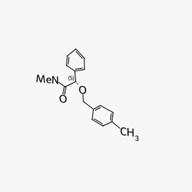 CNC(=O)[C@@H](OCc1ccc(C)cc1)c1ccccc1